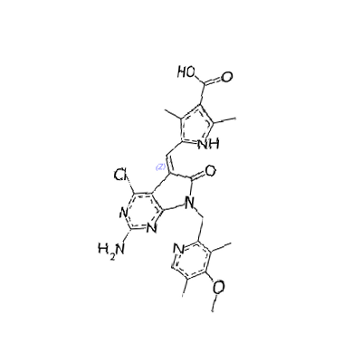 COc1c(C)cnc(CN2C(=O)/C(=C\c3[nH]c(C)c(C(=O)O)c3C)c3c(Cl)nc(N)nc32)c1C